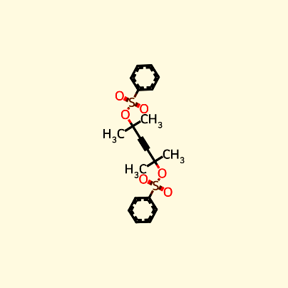 CC(C)(C#CC(C)(C)OS(=O)(=O)c1ccccc1)OS(=O)(=O)c1ccccc1